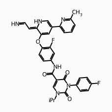 Cc1cccc(C2=CN/C(=C\C=N)C(Oc3ccc(NC(=O)c4cn(C(C)C)c(=O)n(-c5ccc(F)cc5)c4=O)cc3F)=C2)n1